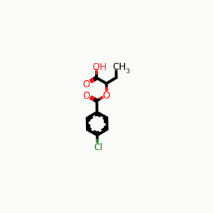 CCC(OC(=O)c1ccc(Cl)cc1)C(=O)O